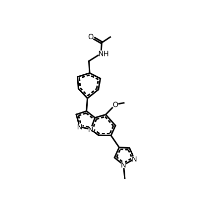 COc1cc(-c2cnn(C)c2)cn2ncc(-c3ccc(CNC(C)=O)cc3)c12